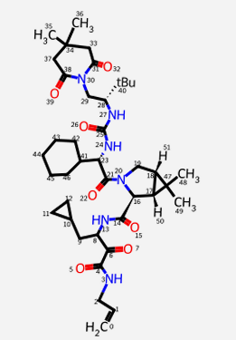 C=CCNC(=O)C(=O)C(CC1CC1)NC(=O)[C@@H]1[C@@H]2[C@H](CN1C(=O)[C@@H](NC(=O)N[C@H](CN1C(=O)CC(C)(C)CC1=O)C(C)(C)C)C1CCCCC1)C2(C)C